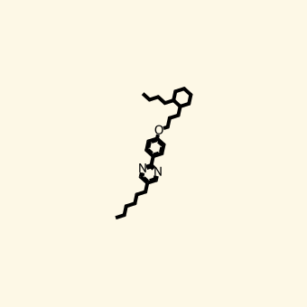 CCCCCCc1cnc(-c2ccc(OCCCC3CCCCC3CCCC)cc2)nc1